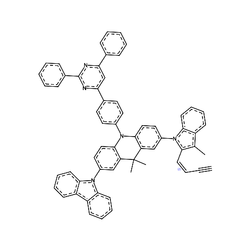 C#C/C=C\c1c(C)c2ccccc2n1-c1ccc2c(c1)C(C)(C)c1cc(-n3c4ccccc4c4ccccc43)ccc1N2c1ccc(-c2cc(-c3ccccc3)nc(-c3ccccc3)n2)cc1